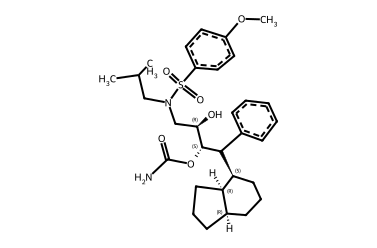 COc1ccc(S(=O)(=O)N(CC(C)C)C[C@@H](O)[C@@H](OC(N)=O)C(c2ccccc2)[C@H]2CCC[C@H]3CCC[C@H]32)cc1